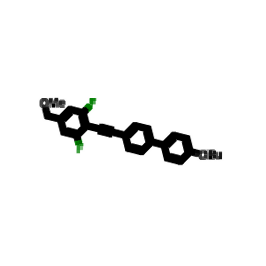 COCc1cc(F)c(C#Cc2ccc(-c3ccc(OCC(C)C)cc3)cc2)c(F)c1